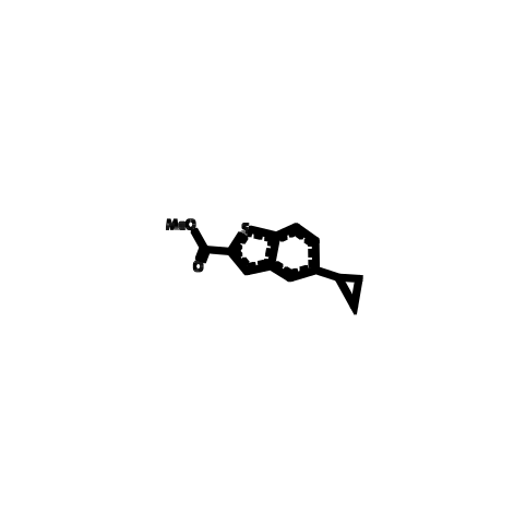 COC(=O)c1cc2cc(C3CC3)ccc2s1